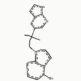 CC(C)(C)c1cccc2c1ccn2CC(C)(C)c1cnc2[nH]ccc2c1